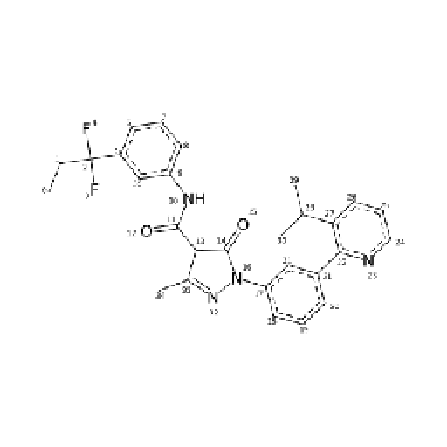 CCC(F)(F)c1cccc(NC(=O)C2C(=O)N(c3cccc(-c4ncccc4C(C)C)c3)N=C2C)c1